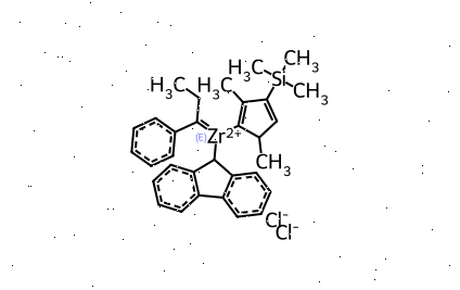 CC/[C](c1ccccc1)=[Zr+2](\[C]1=C(C)C([Si](C)(C)C)=CC1C)[CH]1c2ccccc2-c2ccccc21.[Cl-].[Cl-]